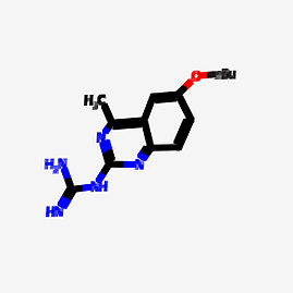 CCCCOc1ccc2nc(NC(=N)N)nc(C)c2c1